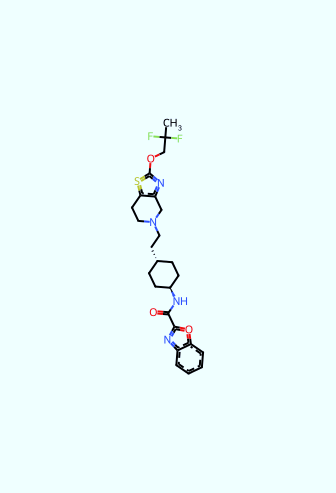 CC(F)(F)COc1nc2c(s1)CCN(CC[C@H]1CC[C@H](NC(=O)c3nc4ccccc4o3)CC1)C2